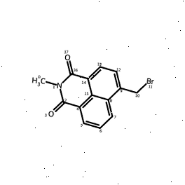 CN1C(=O)c2cccc3c(CBr)ccc(c23)C1=O